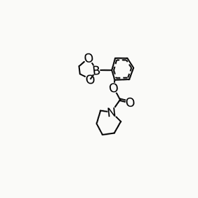 O=C(Oc1ccccc1B1OCCO1)N1CCCCC1